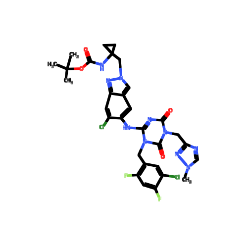 Cn1cnc(Cn2c(=O)nc(Nc3cc4cn(CC5(NC(=O)OC(C)(C)C)CC5)nc4cc3Cl)n(Cc3cc(Cl)c(F)cc3F)c2=O)n1